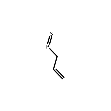 C=CCP=S